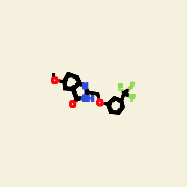 COc1ccc2nc(COc3cccc(C(F)(F)F)c3)[nH]c(=O)c2c1